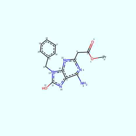 CC(C)OC(=O)Cc1nc(N)c2nc(O)n(Cc3ccccc3)c2n1